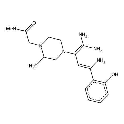 CNC(=O)CN1CCN(C(/C=C(\N)c2ccccc2O)=C(N)N)CC1C